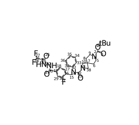 CC(C)(C)OC(=O)N1CCC2(CC1)CN(C(=O)N(Cc1ccc(C(=O)NNC(=O)C(F)F)cc1F)c1ccccc1)C2